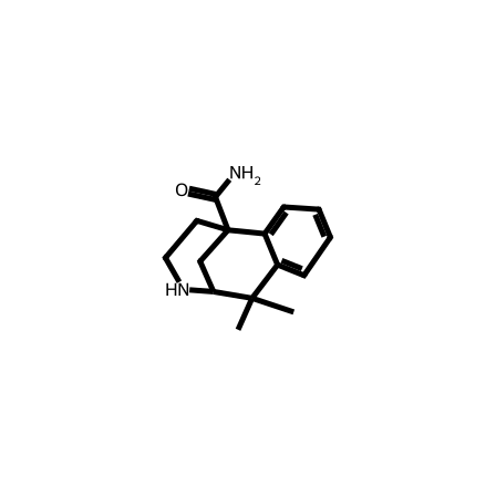 CC1(C)c2ccccc2C2(C(N)=O)CCNC1C2